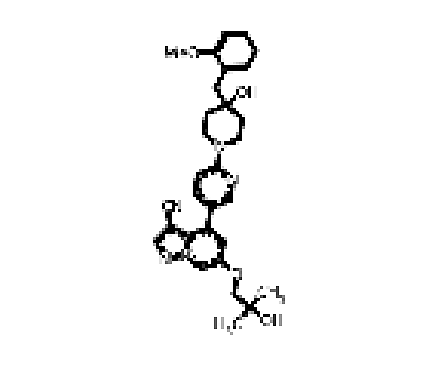 COC1=CCCC=C1CC1(O)CCN(c2ccc(-c3cc(OCC(C)(C)O)cn4ncc(C#N)c34)cn2)CC1